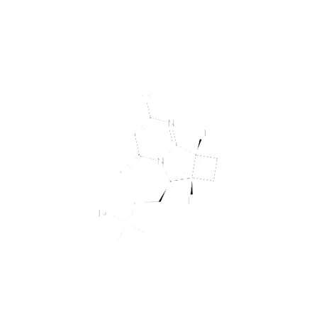 CC(C)(C)[Si](C)(C)OC[C@@H]1[C@H]2CC[C@H]2c2nc(O)cc(=O)n21